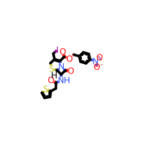 O=C(Cc1cccs1)NC1C(=O)N2C(C(=O)OCc3ccc([N+](=O)[O-])cc3)=C(CI)CS[C@@H]12